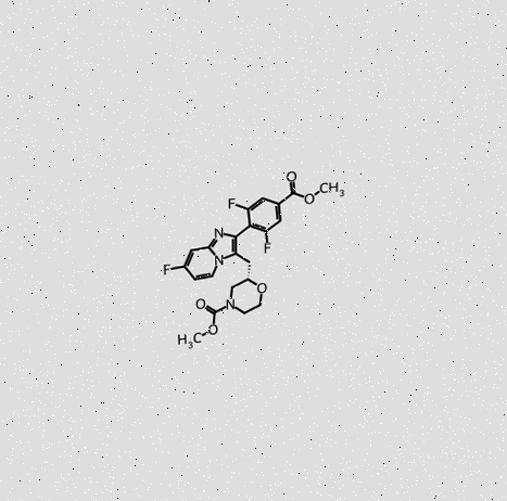 COC(=O)c1cc(F)c(-c2nc3cc(F)ccn3c2C[C@H]2CN(C(=O)OC)CCO2)c(F)c1